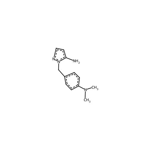 CN(C)c1ccc(Cn2nccc2N)cc1